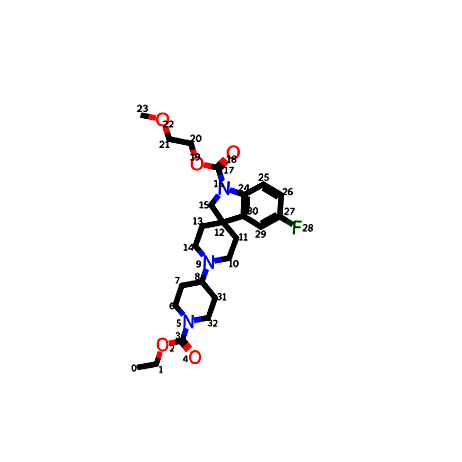 CCOC(=O)N1CCC(N2CCC3(CC2)CN(C(=O)OCCOC)c2ccc(F)cc23)CC1